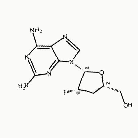 Nc1nc(N)c2ncn([C@@H]3O[C@H](CO)C[C@@H]3F)c2n1